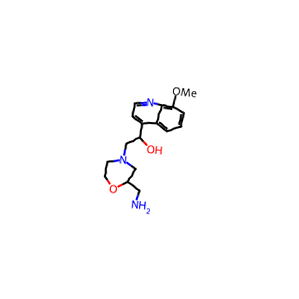 COc1cccc2c(C(O)CN3CCOC(CN)C3)ccnc12